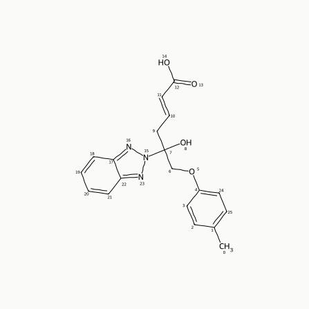 Cc1ccc(OCC(O)(CC=CC(=O)O)n2nc3ccccc3n2)cc1